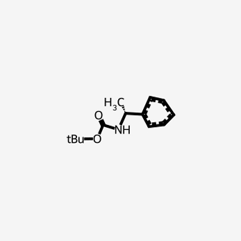 C[C@@H](NC(=O)OC(C)(C)C)c1ccccc1